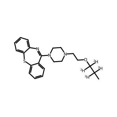 [2H]C([2H])(C)C([2H])([2H])OCCN1CCN(C2=Nc3ccccc3Sc3ccccc32)CC1